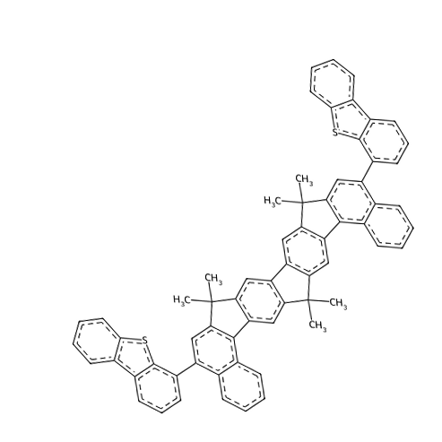 CC1(C)c2cc3c(cc2-c2cc4c(cc21)-c1c(cc(-c2cccc5c2sc2ccccc25)c2ccccc12)C4(C)C)C(C)(C)c1cc(-c2cccc4c2sc2ccccc24)c2ccccc2c1-3